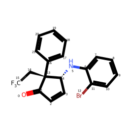 O=C1C=C[C@@H](Nc2ccccc2Br)[C@@]1(CC(F)(F)F)c1ccccc1